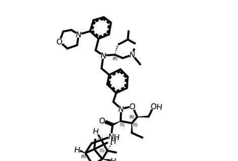 CC[C@@H]1[C@H](CO)ON(Cc2cccc(CN(Cc3ccccc3N3CCOCC3)[C@H](CC(C)C)CN(C)C)c2)[C@@H]1C(=O)N[C@H]1C[C@H]2C[C@@H]([C@@H]1C)C2(C)C